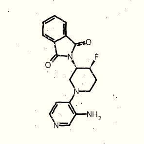 Nc1cnccc1N1CC[C@H](F)[C@H](N2C(=O)c3ccccc3C2=O)C1